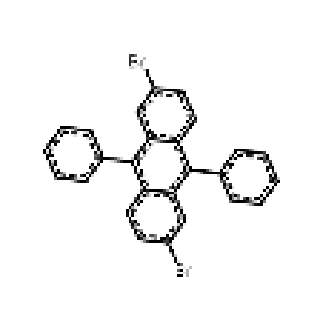 Brc1ccc2c(-c3ccccc3)c3cc(Br)ccc3c(-c3ccccc3)c2c1